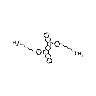 CCCCCCCCc1ccc(-p2c3cc4ccccc4cc3c3cc4c(cc32)c2cc3ccccc3cc2p4-c2ccc(CCCCCCCC)cc2)cc1